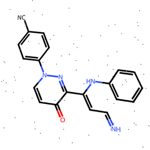 N#Cc1ccc(-n2ccc(=O)c(/C(=C/C=N)Nc3ccccc3)n2)cc1